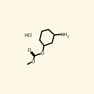 COC(=O)OC1CCCC(N)C1.Cl